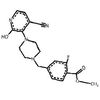 COC(=O)c1ccc(CN2CCN(c3c(C#N)ccnc3O)CC2)cc1F